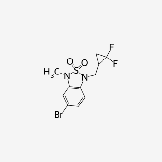 CN1c2cc(Br)ccc2N(CC2CC2(F)F)S1(=O)=O